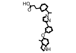 Cc1c(Oc2cccc(-c3ccn(C(C)c4cccc(CCC(=O)O)c4)n3)c2)ccc2[nH]ccc12